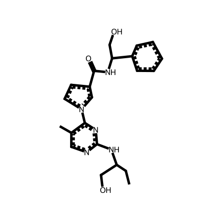 CCC(CO)Nc1ncc(C)c(-n2ccc(C(=O)NC(CO)c3ccccc3)c2)n1